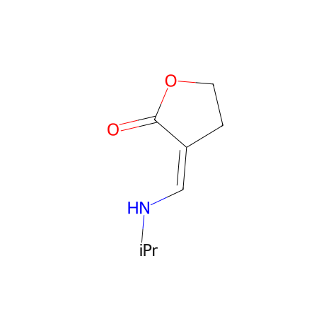 CC(C)NC=C1CCOC1=O